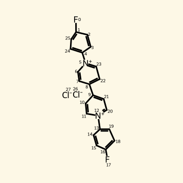 Fc1ccc(-[n+]2ccc(-c3cc[n+](-c4ccc(F)cc4)cc3)cc2)cc1.[Cl-].[Cl-]